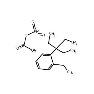 CCc1ccccc1C(CC)(CC)CC.O=[PH](O)O[PH](=O)O